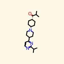 CC(C)c1nccc(C2CCN([C@H]3CC[C@@H](C(=O)C(C)C)CC3)CC2)n1